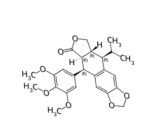 COc1cc([C@@H]2c3cc4c(cc3[C@H](C(C)C)[C@H]3COC(=O)[C@H]23)OCO4)cc(OC)c1OC